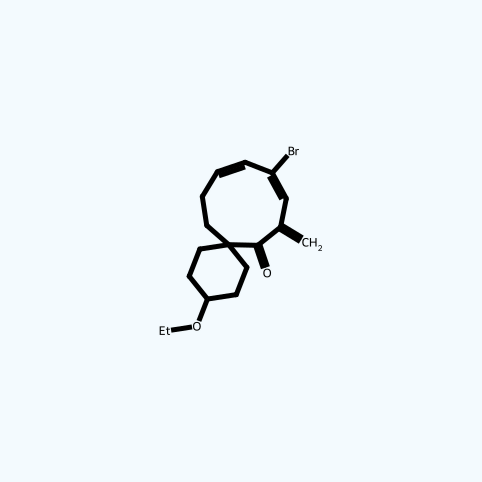 C=C1/C=C(Br)\C=C/CCC2(CCC(OCC)CC2)C1=O